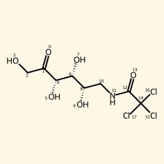 O=C(CO)[C@@H](O)[C@H](O)[C@@H](O)CNC(=O)C(Cl)(Cl)Cl